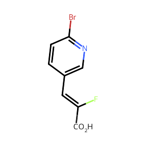 O=C(O)/C(F)=C/c1ccc(Br)nc1